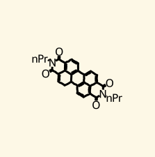 CCCN1C(=O)C2=CCC3c4c(ccc(c42)C1=O)-c1ccc2c4c(ccc3c14)C(=O)N(CCC)C2=O